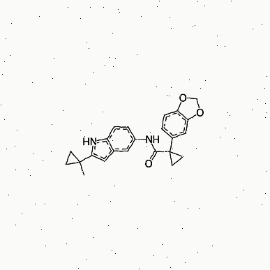 CC1(c2cc3cc(NC(=O)C4(c5ccc6c(c5)OCO6)CC4)ccc3[nH]2)CC1